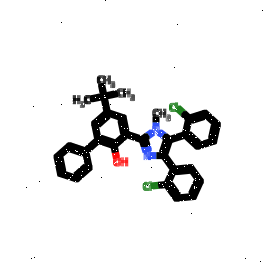 Cn1c(-c2cc(C(C)(C)C)cc(-c3ccccc3)c2O)nc(-c2ccccc2Cl)c1-c1ccccc1Cl